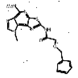 CNc1nc2sc(NC(=O)COCc3ccccc3)nc2c2c1ncn2C